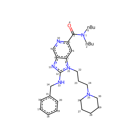 CCCCN(CCCC)C(=O)c1cc2c(cn1)nc(NCc1ccccc1)n2CCCN1CCCCC1